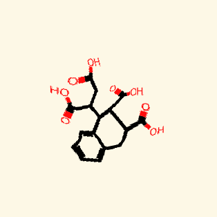 O=C(O)CC(C(=O)O)C1c2ccccc2CC(C(=O)O)C1C(=O)O